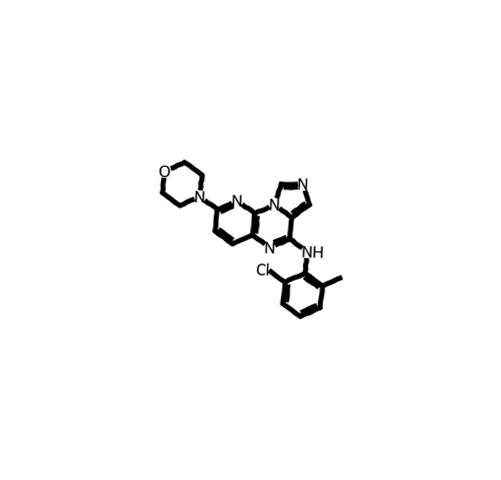 Cc1cccc(Cl)c1Nc1nc2ccc(N3CCOCC3)nc2n2cncc12